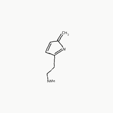 C=C1C=CC(CCNC)=N1